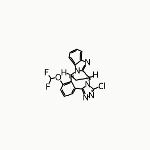 FC(F)Oc1cccc2c1[C@H]1C[C@H](c3nc4ccccc4n31)n1c(Cl)nnc1-2